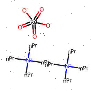 CCC[N+](CCC)(CCC)CCC.CCC[N+](CCC)(CCC)CCC.[O]=[Ru](=[O])(=[O])([O-])[O-]